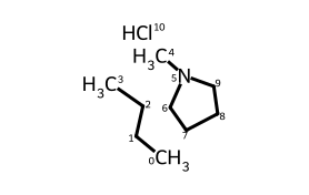 CCCC.CN1CCCC1.Cl